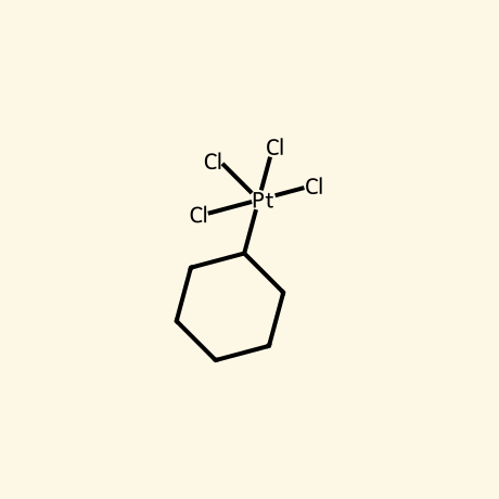 [Cl][Pt]([Cl])([Cl])([Cl])[CH]1CCCCC1